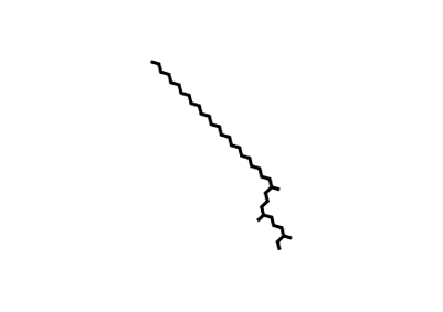 CCCCCCCCCCCCCCCCCCCCCCCCC(C)CCCC(C)CCCC(C)CC